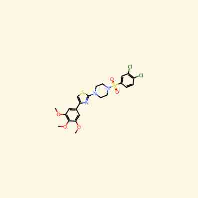 COc1cc(-c2csc(N3CCN(S(=O)(=O)c4ccc(Cl)c(Cl)c4)CC3)n2)cc(OC)c1OC